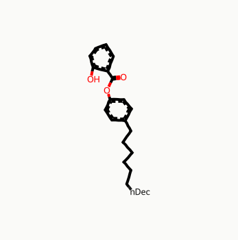 CCCCCCCCCCCCCCCCc1ccc(OC(=O)c2ccccc2O)cc1